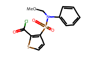 COCN(c1ccccc1)S(=O)(=O)c1ccsc1C(=O)Cl